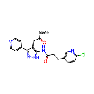 CNC(=O)Cc1c(-c2ccncc2)n[nH]c1NC(=O)CCc1ccc(Cl)nc1